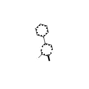 Nc1nc(-c2ccccc2)c[nH]c1=O